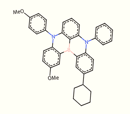 COc1ccc(N2c3ccc(OC)cc3B3c4cc(C5CCCCC5)ccc4N(c4ccccc4)c4cccc2c43)cc1